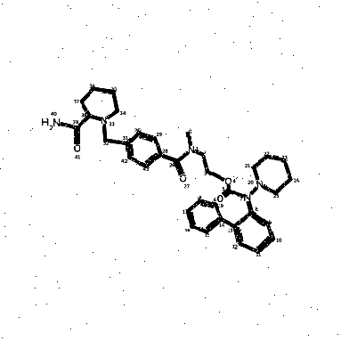 CN(CCOC(=O)N(c1ccccc1-c1ccccc1)N1CC[CH]CC1)C(=O)c1ccc(CN2CCCCC2C(N)=O)cc1